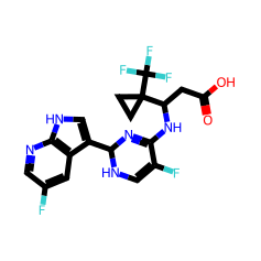 O=C(O)CC(NC1=NC(c2c[nH]c3ncc(F)cc23)NC=C1F)C1(C(F)(F)F)CC1